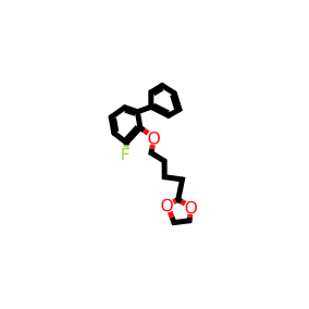 Fc1cccc(-c2ccccc2)c1OCCCCC1OCCO1